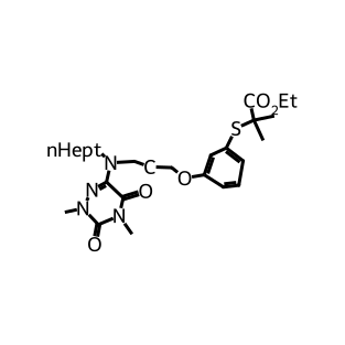 CCCCCCCN(CCCOc1cccc(SC(C)(C)C(=O)OCC)c1)c1nn(C)c(=O)n(C)c1=O